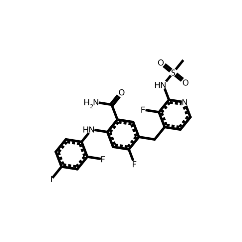 CS(=O)(=O)Nc1nccc(Cc2cc(C(N)=O)c(Nc3ccc(I)cc3F)cc2F)c1F